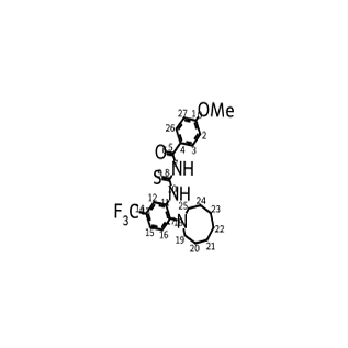 COc1ccc(C(=O)NC(=S)Nc2cc(C(F)(F)F)ccc2N2CCCCCCC2)cc1